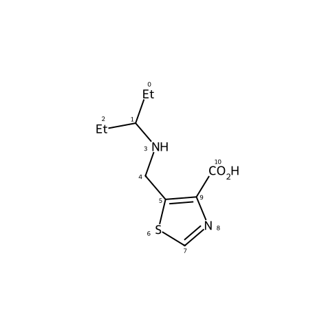 CCC(CC)NCc1scnc1C(=O)O